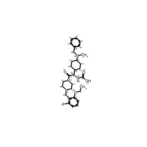 CCOc1cccc(F)c1CN1CCN(C(=O)[C@H](NC(=O)O)C2CCC(N(C)Cc3ccccc3)CC2)CC1